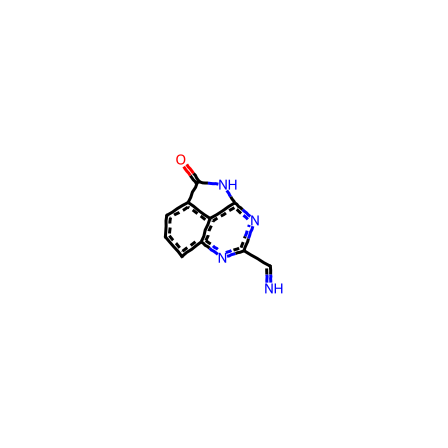 N=Cc1nc2c3c(cccc3n1)C(=O)N2